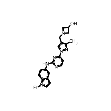 CCn1ccc2cc(Nc3nccc(-n4cc(CN5CC(O)C5)c(C)n4)n3)ccc21